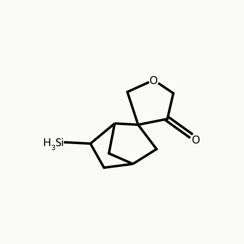 O=C1COCC12CC1CC([SiH3])C2C1